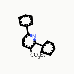 CCOC(=O)c1ccc(-c2ccccc2)nc1-c1ccccc1